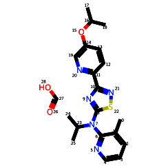 Cc1cccnc1N(c1nc(-c2ccc(OC(C)C)cn2)ns1)C(C)C.O=CO